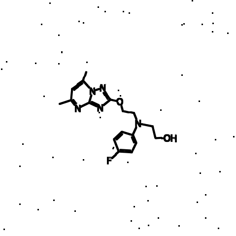 Cc1cc(C)n2nc(OCCN(CCO)c3ccc(F)cc3)nc2n1